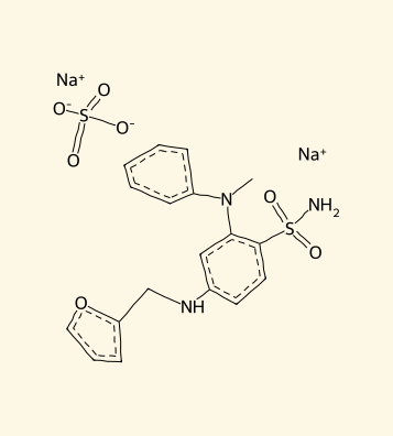 CN(c1ccccc1)c1cc(NCc2ccco2)ccc1S(N)(=O)=O.O=S(=O)([O-])[O-].[Na+].[Na+]